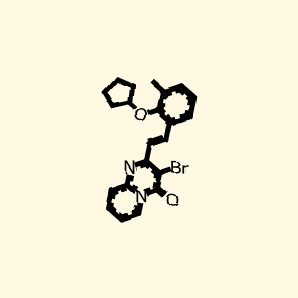 Cc1cccc(C=Cc2nc3ccccn3c(=O)c2Br)c1OC1CCCC1